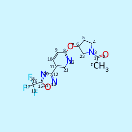 CC(=O)N1CCC(Oc2ccc(-c3noc(C(F)(F)F)n3)cn2)C1